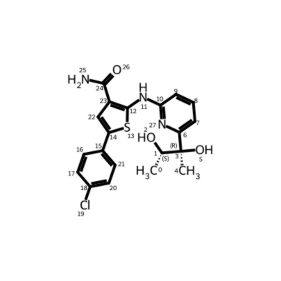 C[C@H](O)[C@](C)(O)c1cccc(Nc2sc(-c3ccc(Cl)cc3)cc2C(N)=O)n1